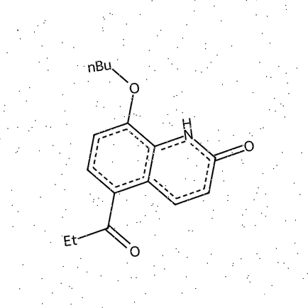 CCCCOc1ccc(C(=O)CC)c2ccc(=O)[nH]c12